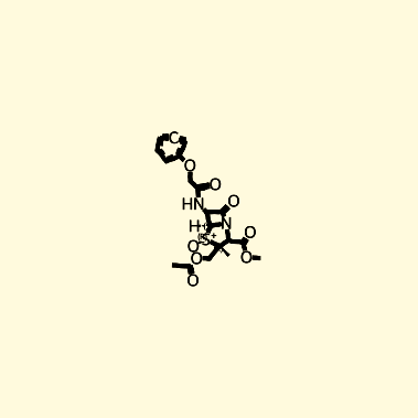 COC(=O)C1N2C(=O)C(NC(=O)COc3ccccc3)[C@@H]2[S@@+]([O-])[C@@]1(C)COC(C)=O